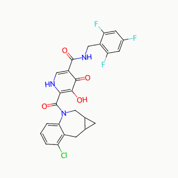 O=C(NCc1c(F)cc(F)cc1F)c1c[nH]c(C(=O)N2CC3CC3Cc3c(Cl)cccc32)c(O)c1=O